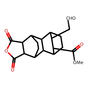 COC(=O)C1C(CC=O)C2CCC1C1C3CCC(C4C(=O)OC(=O)C34)C21